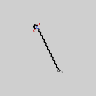 CCCCCCCCCCCCCCCCCCCCCCCCN1C(=O)C=CC1=O